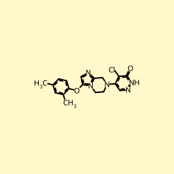 Cc1ccc(Oc2cnc3n2CCN(c2cn[nH]c(=O)c2Cl)C3)c(C)c1